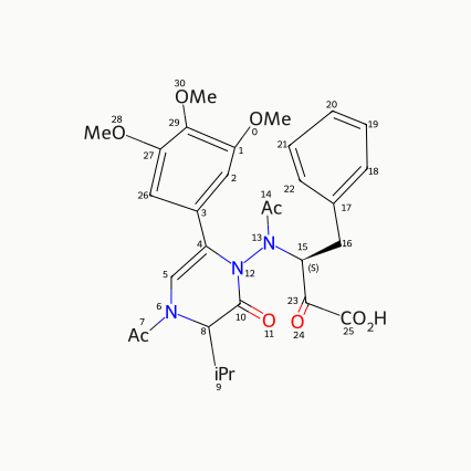 COc1cc(C2=CN(C(C)=O)C(C(C)C)C(=O)N2N(C(C)=O)[C@@H](Cc2ccccc2)C(=O)C(=O)O)cc(OC)c1OC